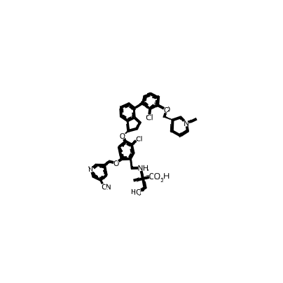 CN1CCC[C@@H](COc2cccc(-c3cccc4c3CC[C@H]4Oc3cc(OCc4cncc(C#N)c4)c(CNC(C)(CO)C(=O)O)cc3Cl)c2Cl)C1